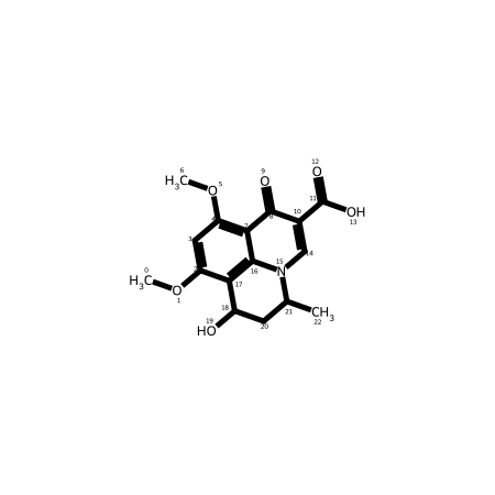 COc1cc(OC)c2c(=O)c(C(=O)O)cn3c2c1C(O)CC3C